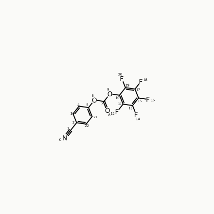 N#Cc1ccc(OC(=O)Oc2c(F)c(F)c(F)c(F)c2F)cc1